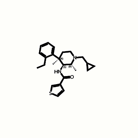 CCc1ccccc1[C@@]1(C)CCN(CC2CC2)[C@H](C)[C@H]1NC(=O)c1ccsc1